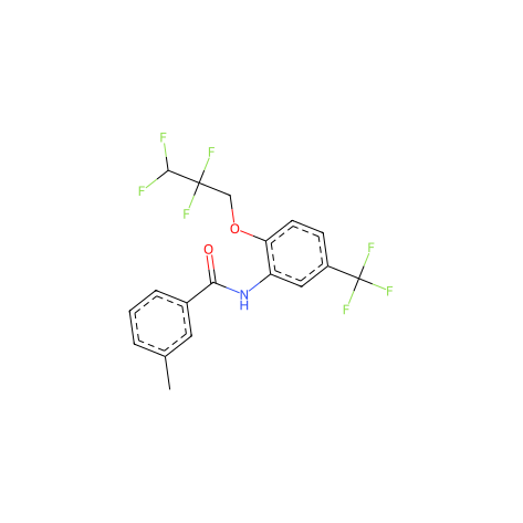 Cc1cccc(C(=O)Nc2cc(C(F)(F)F)ccc2OCC(F)(F)C(F)F)c1